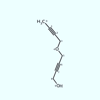 CC#CCOCC#CCO